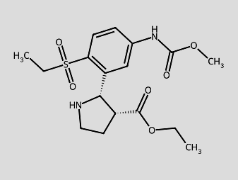 CCOC(=O)[C@@H]1CCN[C@@H]1c1cc(NC(=O)OC)ccc1S(=O)(=O)CC